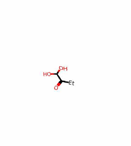 CCC(=O)C(O)O